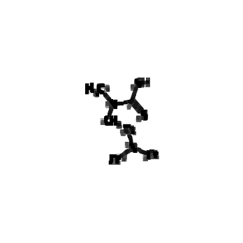 CCN(CC)CC.CN(C)C(=S)S